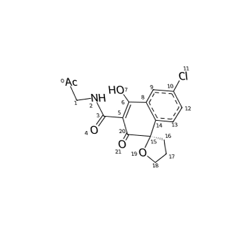 CC(=O)CNC(=O)C1=C(O)c2cc(Cl)ccc2[C@]2(CCCO2)C1=O